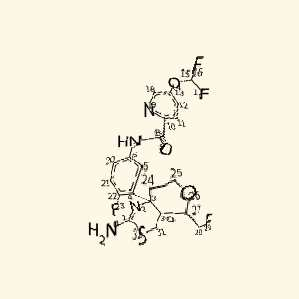 NC1=NC2(c3cc(NC(=O)c4ccc(OC(F)F)cn4)ccc3F)CCOC(CF)C2CS1